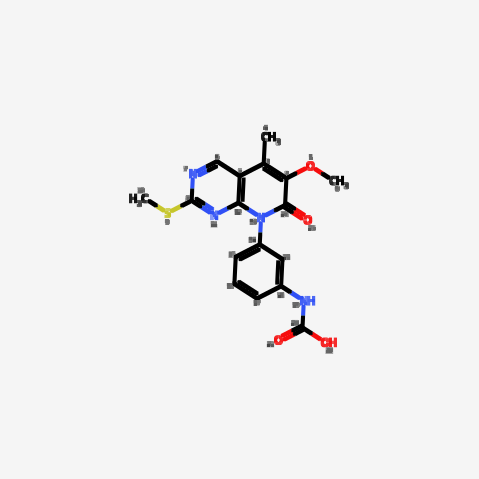 COc1c(C)c2cnc(SC)nc2n(-c2cccc(NC(=O)O)c2)c1=O